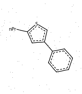 CCCc1cc(-c2ccccc2)cs1